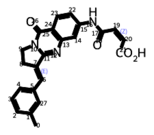 Cc1cccc(/C=C2\CCn3c2nc2cc(NC(=O)/C=C\C(=O)O)ccc2c3=O)c1